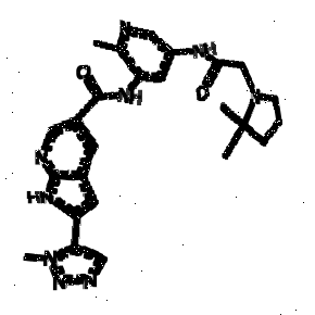 Cc1ncc(NC(=O)CN2CCCC2(C)C)cc1NC(=O)c1cnc2[nH]c(-c3cnnn3C)cc2c1